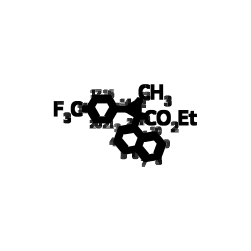 CCOC(=O)C1(c2cccc3ccccc23)C(C)=C1c1ccc(C(F)(F)F)cc1